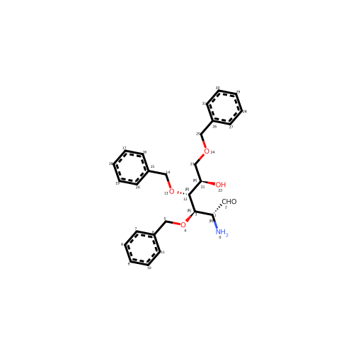 N[C@@H](C=O)[C@@H](OCc1ccccc1)[C@H](OCc1ccccc1)[C@H](O)COCc1ccccc1